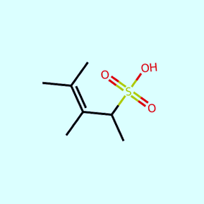 CC(C)=C(C)C(C)S(=O)(=O)O